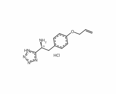 C=CCOc1ccc(C[C@H](N)c2nnn[nH]2)cc1.Cl